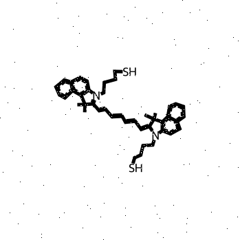 CC1(C)C(/C=C/C=C/C=C/C=C2/N(CCCCS)c3ccc4ccccc4c3C2(C)C)=[N+](CCCCS)c2ccc3ccccc3c21